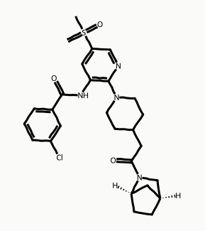 C=S(C)(=O)c1cnc(N2CCC(CC(=O)N3C[C@H]4CC[C@@H]3C4)CC2)c(NC(=O)c2cccc(Cl)c2)c1